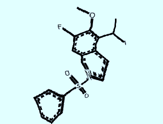 COc1c(F)cc2c(ccn2S(=O)(=O)c2ccccc2)c1C(C)I